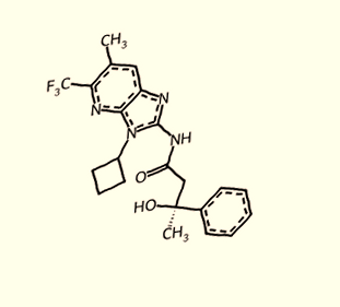 Cc1cc2nc(NC(=O)C[C@](C)(O)c3ccccc3)n(C3CCC3)c2nc1C(F)(F)F